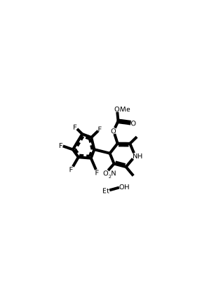 CCO.COC(=O)OC1=C(C)NC(C)=C([N+](=O)[O-])C1c1c(F)c(F)c(F)c(F)c1F